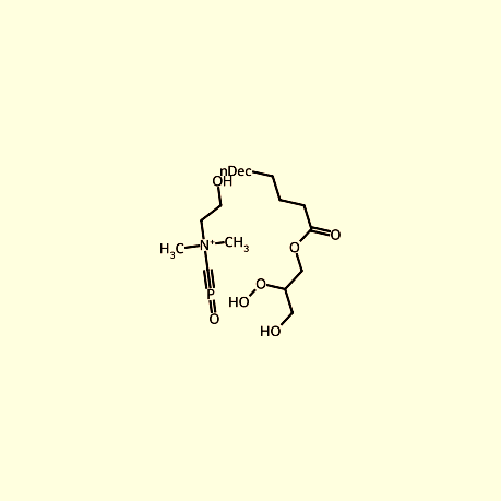 CCCCCCCCCCCCCC(=O)OCC(CO)OO.C[N+](C)(C#P=O)CCO